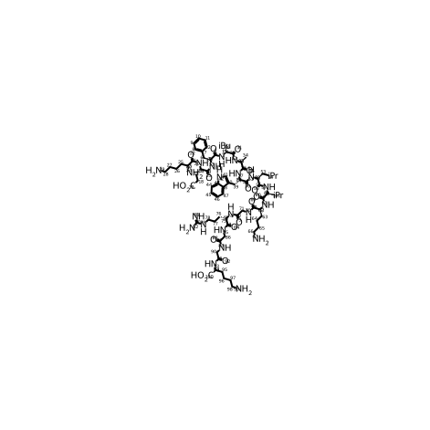 CC[C@H](C)[C@H](NC(=O)[C@H](Cc1ccccc1)NC(=O)[C@H](CCC(=O)O)NC(=O)[C@@H](N)CCCCN)C(=O)N[C@@H](C)C(=O)N[C@@H](Cc1c[nH]c2ccccc12)C(=O)N[C@@H](CC(C)C)C(=O)N[C@H](C(=O)N[C@@H](CCCCN)C(=O)NCC(=O)N[C@@H](CCCNC(=N)N)C(=O)NCC(=O)NCC(=O)N[C@@H](CCCCN)C(=O)O)C(C)C